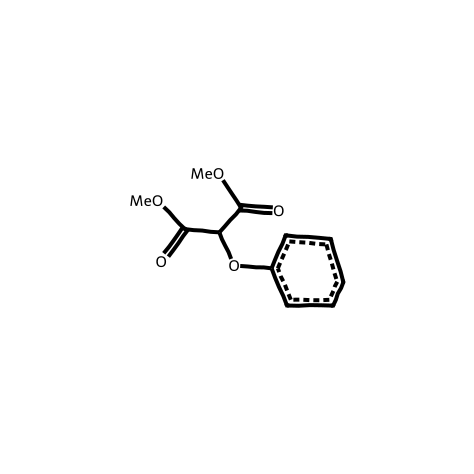 COC(=O)C(Oc1ccccc1)C(=O)OC